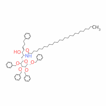 CCCCCCCCCCCCCCCCCCCCCCCCCC(=O)N[C@@H](C[C@@H]1O[C@H](COCc2ccccc2)[C@H](OCc2ccccc2)[C@H](OCc2ccccc2)[C@H]1OCc1ccccc1)[C@H](O)C=CCCc1ccccc1